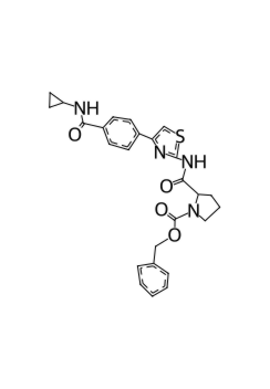 O=C(NC1CC1)c1ccc(-c2csc(NC(=O)C3CCCN3C(=O)OCc3ccccc3)n2)cc1